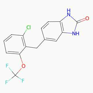 O=c1[nH]c2ccc(Cc3c(Cl)cccc3OC(F)(F)F)cc2[nH]1